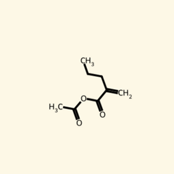 C=C(CCC)C(=O)OC(C)=O